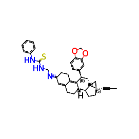 CC#C[C@]12CCC3[C@@H]4CCC5=C/C(=N/CNC(=S)Nc6ccccc6)CCC5=C4[C@@H](c4ccc5c(c4)OCO5)C[C@@]31C2